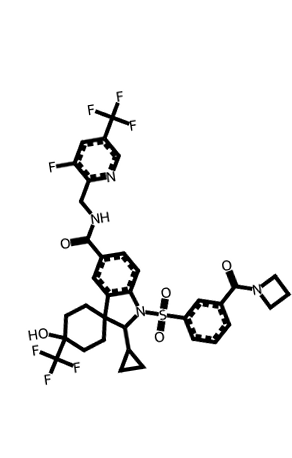 O=C(NCc1ncc(C(F)(F)F)cc1F)c1ccc2c(c1)C1(CCC(O)(C(F)(F)F)CC1)C(C1CC1)N2S(=O)(=O)c1cccc(C(=O)N2CCC2)c1